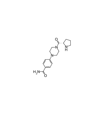 NC(=O)c1ccc(N2CCN(C(=O)[C@@H]3CCCN3)CC2)cc1